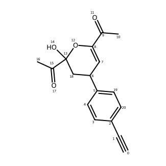 C#Cc1ccc(C2C=C(C(C)=O)OC(O)(C(C)=O)C2)cc1